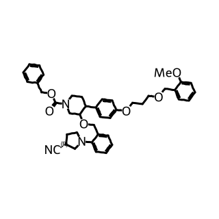 COc1ccccc1COCCCOc1ccc(C2CCN(C(=O)OCc3ccccc3)CC2OCc2ccccc2N2CC[C@@H](C#N)C2)cc1